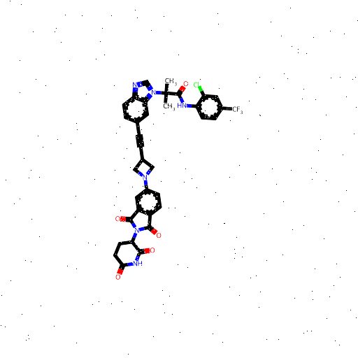 CC(C)(C(=O)Nc1ccc(C(F)(F)F)cc1Cl)n1cnc2ccc(C#CC3CN(c4ccc5c(c4)C(=O)N(C4CCC(=O)NC4=O)C5=O)C3)cc21